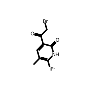 Cc1cc(C(=O)CBr)c(=O)[nH]c1C(C)C